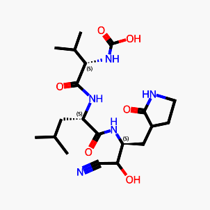 CC(C)C[C@H](NC(=O)[C@@H](NC(=O)O)C(C)C)C(=O)N[C@@H](CC1CCNC1=O)C(O)C#N